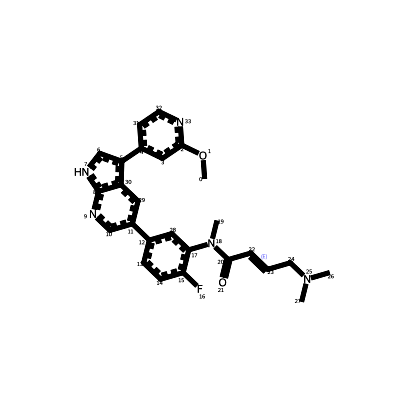 COc1cc(-c2c[nH]c3ncc(-c4ccc(F)c(N(C)C(=O)/C=C/CN(C)C)c4)cc23)ccn1